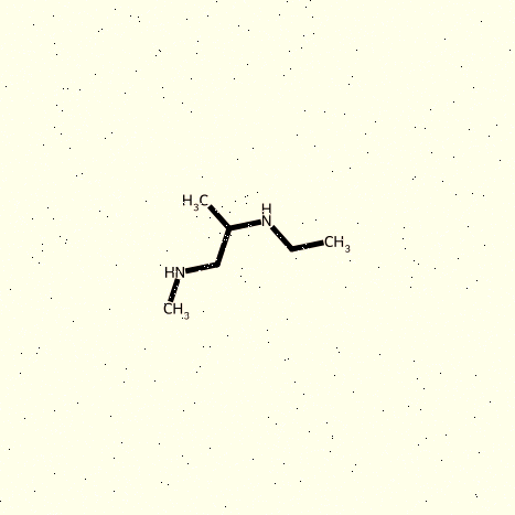 CCNC(C)CNC